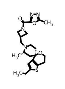 CCc1cc2c(s1)CCO[C@@]21CCN(CC2CN(C(=O)c3nnc(C)o3)C2)[C@@H](C)C1